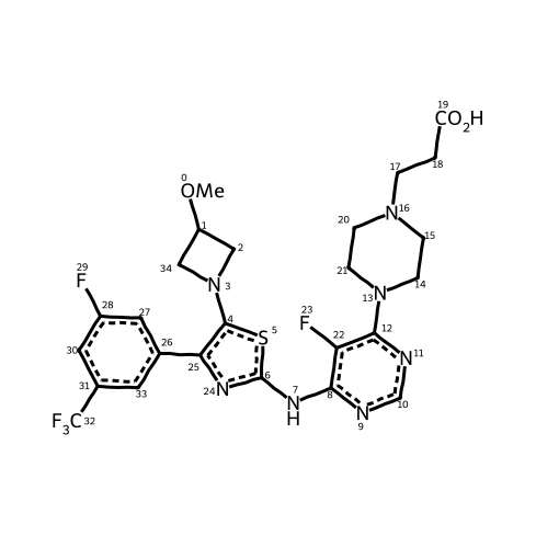 COC1CN(c2sc(Nc3ncnc(N4CCN(CCC(=O)O)CC4)c3F)nc2-c2cc(F)cc(C(F)(F)F)c2)C1